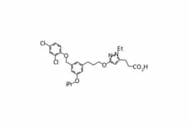 CCn1nc(OCCCc2cc(COc3ccc(Cl)cc3Cl)cc(OC(C)C)c2)cc1CCC(=O)O